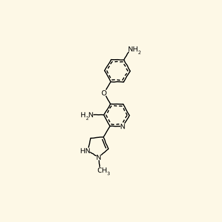 CN1C=C(c2nccc(Oc3ccc(N)cc3)c2N)CN1